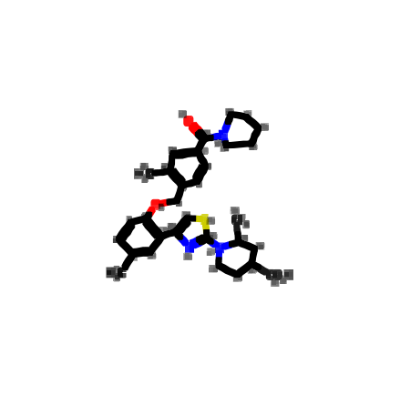 Cc1ccc(OCc2ccc(C(=O)N3CCCCC3)cc2C)c(-c2csc(N3CCC(C(=O)O)CC3C(F)(F)F)n2)c1